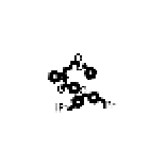 CC(C)Cc1ccc(C(Oc2ccc(C(=O)n3cc(CCCC(=O)OCc4ccccc4)c4ccccc43)cc2)c2ccc(CC(C)C)cc2)cc1